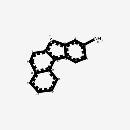 Nc1ccc2c(c1)sc1ccc3ccccc3c12